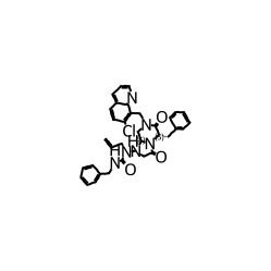 C=CCN(C(=O)NCc1ccccc1)N1CC(=O)N2[C@@H](Cc3ccccc3)C(=O)N(Cc3c(Cl)ccc4cccnc34)C[C@@H]21